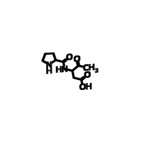 CC(=O)C(CC(=O)O)NC(=O)C1CCCN1